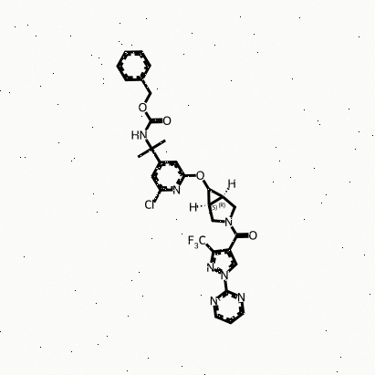 CC(C)(NC(=O)OCc1ccccc1)c1cc(Cl)nc(OC2[C@H]3CN(C(=O)c4cn(-c5ncccn5)nc4C(F)(F)F)C[C@@H]23)c1